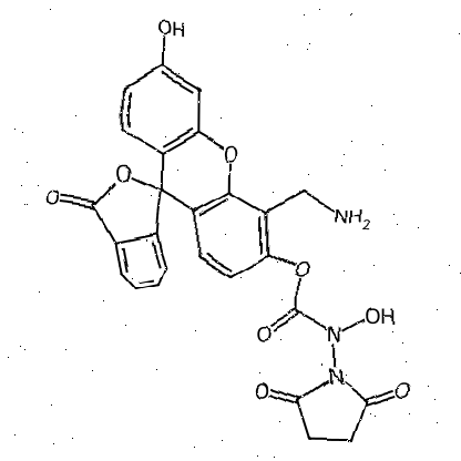 NCc1c(OC(=O)N(O)N2C(=O)CCC2=O)ccc2c1Oc1cc(O)ccc1C21OC(=O)c2ccccc21